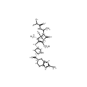 CC(NC(=O)C(F)F)[C@H]1C(=O)N2C(C(=O)O)=C(S[C@@H]3CN[C@H](C(=O)N4CCc5nc(N)sc5C4)C3)[C@H](C)[C@H]12